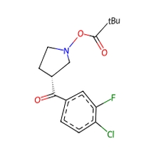 CC(C)(C)C(=O)ON1CC[C@@H](C(=O)c2ccc(Cl)c(F)c2)C1